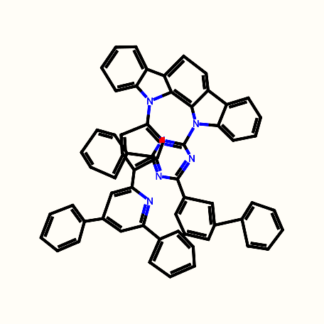 c1ccc(-c2cccc(-c3nc(-c4ccccc4)nc(-n4c5ccccc5c5ccc6c7ccccc7n(-c7ccc(-c8cc(-c9ccccc9)cc(-c9ccccc9)n8)cc7)c6c54)n3)c2)cc1